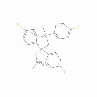 C[SiH2]CC(C[Si](C)(CI)c1ccc(F)cc1)(c1ccc(F)cc1)c1ccc(F)cc1